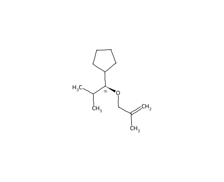 C=C(C)CO[C@@H](C(C)C)C1CCCC1